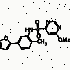 COc1cc(S(=O)(=O)Nc2cc(-c3ccco3)ccc2C)ncn1